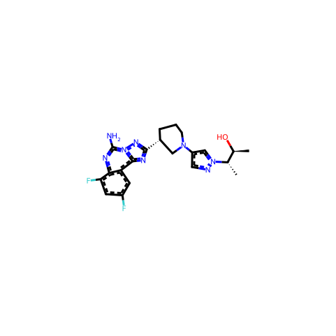 C[C@H](O)[C@H](C)n1cc(N2CCC[C@@H](c3nc4c5cc(F)cc(F)c5nc(N)n4n3)C2)cn1